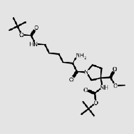 COC(=O)C1(NC(=O)OC(C)(C)C)CCN(C(=O)[C@H](N)CCCCNC(=O)OC(C)(C)C)C1